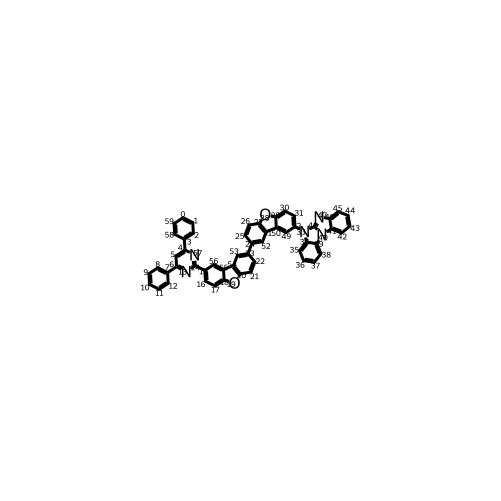 c1ccc(-c2cc(-c3ccccc3)nc(-c3ccc4oc5ccc(-c6ccc7oc8ccc(-n9c%10ccccc%10n%10c%11ccccc%11nc9%10)cc8c7c6)cc5c4c3)n2)cc1